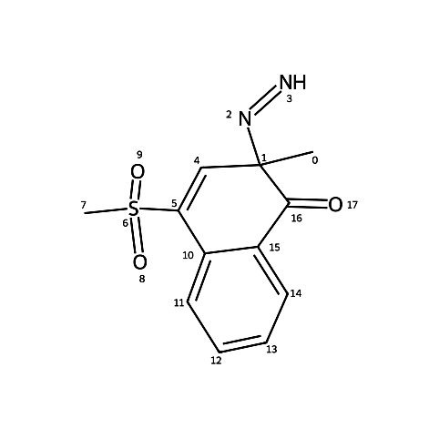 CC1(N=N)C=C(S(C)(=O)=O)c2ccccc2C1=O